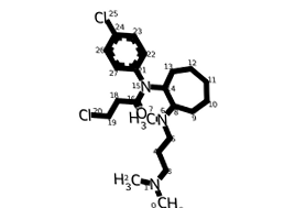 CN(C)CCCN(C)C1CCCCCC1N(C(=O)CCCl)c1ccc(Cl)cc1